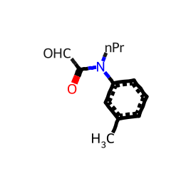 CCCN(C(=O)C=O)c1cccc(C)c1